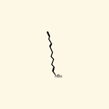 C=CCC=CCCCCC=CCCCC